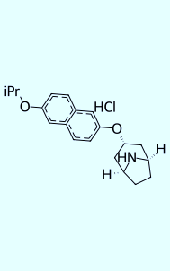 CC(C)Oc1ccc2cc(O[C@@H]3C[C@H]4CC[C@@H](C3)N4)ccc2c1.Cl